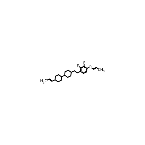 C/C=C/Oc1ccc(CCC2CCC(C3CCC(/C=C/C)CC3)CC2)c(F)c1F